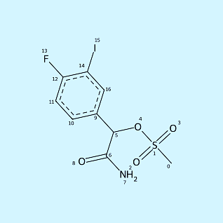 CS(=O)(=O)OC(C(N)=O)c1ccc(F)c(I)c1